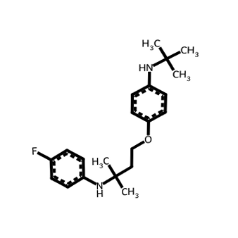 CC(C)(C)Nc1ccc(OCCC(C)(C)Nc2ccc(F)cc2)cc1